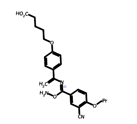 C=C(/N=C(\ON)c1ccc(OC(C)C)c(C#N)c1)c1ccc(OCCCCC(=O)O)cc1